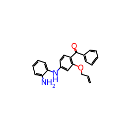 C=CCOc1cc(Nc2ccccc2N)ccc1C(=O)c1ccccc1